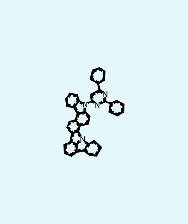 c1ccc(-c2cc(-n3c4ccccc4c4c5ccc6c7cccc8c9ccccc9n(c6c5ccc43)c87)nc(-c3ccccc3)n2)cc1